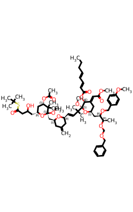 C=C1C[C@@H](C[C@]2(OC)O[C@H](CC(O)CC(=O)SC(C)(C)C)C[C@H](OC(C)=O)C2(C)C)O[C@@H](C=CC(C)(C)[C@]2(OC)O[C@H](C[C@@H](OCc3ccc(OC)cc3)[C@@H](C)OCOCc3ccccc3)CC(=CC(=O)OC)[C@@H]2OC(=O)C=CC=CCCC)C1